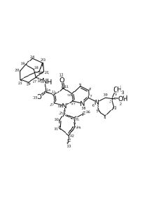 CC1(O)CCCN(c2ccc3c(=O)c(C(=O)NC45CC6CC(CC(C6)C4)C5)cn(-c4ccc(F)cc4F)c3n2)C1